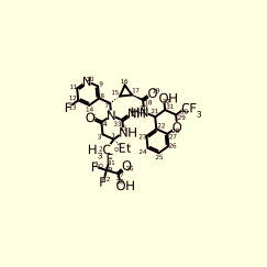 CC[C@]1(C)CC(=O)N(C(c2cncc(F)c2)[C@@H]2C[C@H]2C(=O)NC2c3ccccc3OC(C(F)(F)F)C2O)C(=N)N1.O=C(O)C(F)(F)F